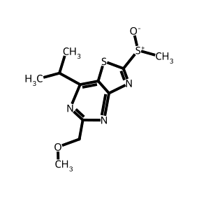 COCc1nc(C(C)C)c2sc([S+](C)[O-])nc2n1